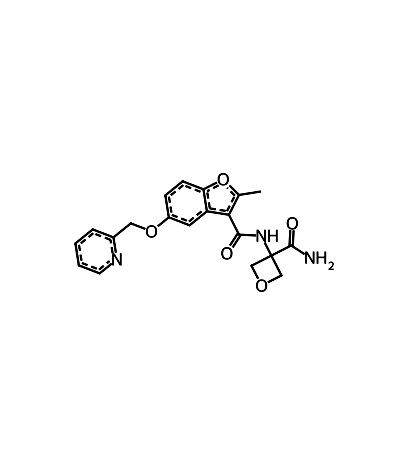 Cc1oc2ccc(OCc3ccccn3)cc2c1C(=O)NC1(C(N)=O)COC1